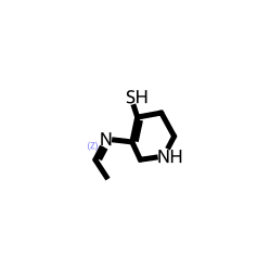 C/C=N\C1=C(S)CCNC1